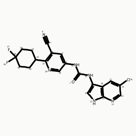 N#Cc1cc(NC(=O)Nc2c[nH]c3ncc(Cl)cc23)cnc1C1CCC(F)(F)CC1